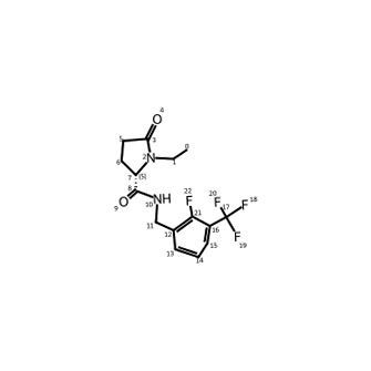 CCN1C(=O)CC[C@H]1C(=O)NCc1cccc(C(F)(F)F)c1F